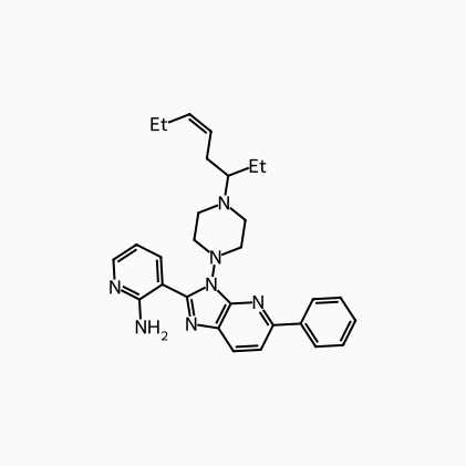 CC/C=C\CC(CC)N1CCN(n2c(-c3cccnc3N)nc3ccc(-c4ccccc4)nc32)CC1